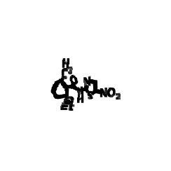 CCOc1cccc(C)c1C(=O)Nc1ncc([N+](=O)[O-])s1